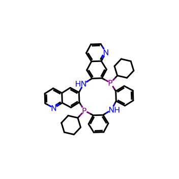 c1ccc2c(c1)Nc1ccccc1P(C1CCCCC1)c1cc3ncccc3cc1Nc1cc3cccnc3cc1P2C1CCCCC1